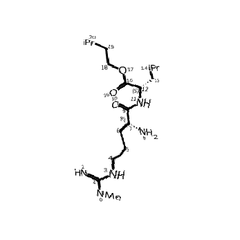 CNC(=N)NCCC[C@@H](N)C(=O)N[C@@H](CC(C)C)C(=O)OCCC(C)C